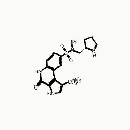 CC(C)N(C[C@@H]1CCCN1)S(=O)(=O)c1ccc2[nH]c(=O)c3[nH]cc(C(=O)O)c3c2c1.Cl